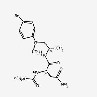 CCCCCCCC(=O)N[C@H](CC(N)=O)C(=O)N[C@@H](C)CN(C(=O)O)c1ccc(Br)cc1